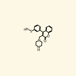 CCCSc1cccc(-c2c(CN3CCNCC3)c(=O)oc3ccccc23)c1